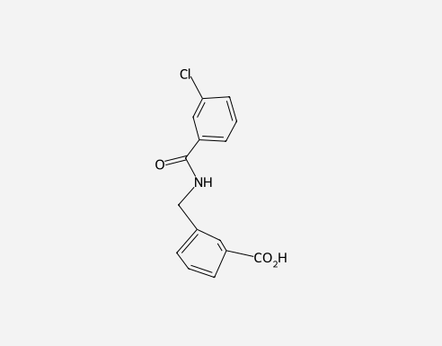 O=C(O)c1cccc(CNC(=O)c2cccc(Cl)c2)c1